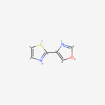 [c]1nc(-c2nccs2)co1